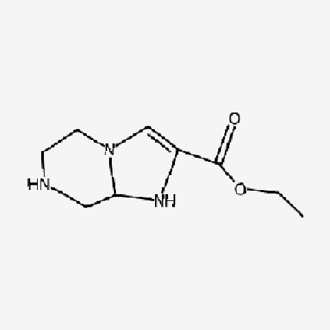 CCOC(=O)C1=CN2CCNCC2N1